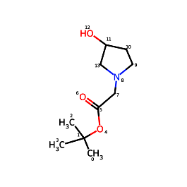 CC(C)(C)OC(=O)CN1CCC(O)C1